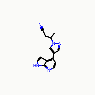 CC(CC#N)n1cc(-c2ccnc3[nH]ccc23)cn1